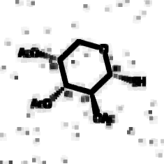 CC(=O)O[C@H]1[C@H](OC(C)=O)[C@H](OC(C)=O)CO[C@@H]1S